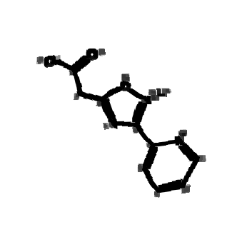 O=C([O-])Cc1nc(-c2ccccn2)no1.[Li+]